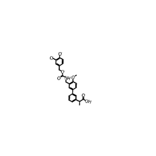 COc1ccc(-c2cccc(C(C)C(=O)O)c2)cc1CNC(=O)OCc1ccc(Cl)c(Cl)c1